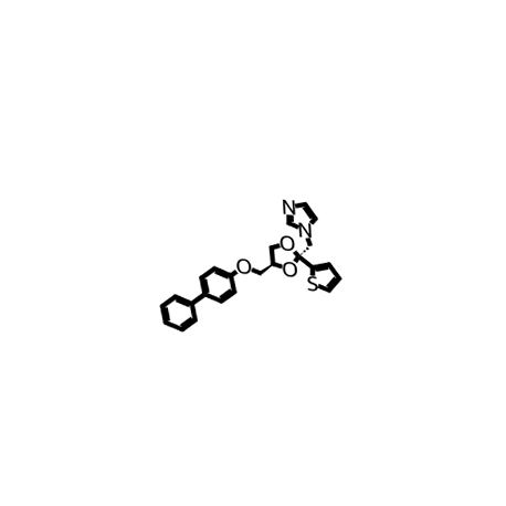 c1ccc(-c2ccc(OC[C@H]3CO[C@@](Cn4ccnc4)(c4cccs4)O3)cc2)cc1